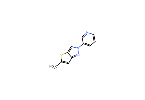 O=C(O)c1cc2nn(-c3cccnc3)cc2s1